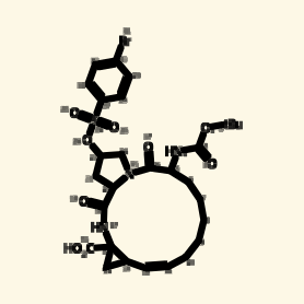 CC(C)(C)OC(=O)NC1CCCCC/C=C\C2CC2(C(=O)O)NC(=O)C2CC(OS(=O)(=O)c3ccc(Br)cc3)CN2C1=O